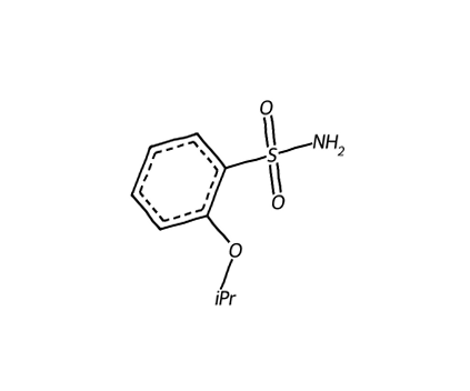 CC(C)Oc1ccccc1S(N)(=O)=O